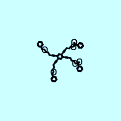 O=C(OCCCC#Cc1cc(C#CCCCOCc2ccccc2)c(C#CCCCOCc2ccccc2)cc1C#CCCCOC(=O)c1ccccc1)c1ccccc1